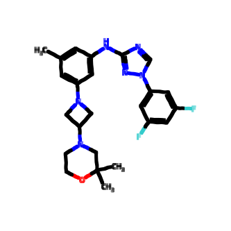 Cc1cc(Nc2ncn(-c3cc(F)cc(F)c3)n2)cc(N2CC(N3CCOC(C)(C)C3)C2)c1